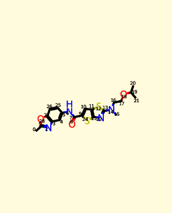 Cc1nc2cc(NC(=O)c3cc4sc(N(C)CCOC(C)C)nc4s3)ccc2o1